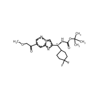 COCC(=O)c1cnn2cc([C@@H](NC(=O)OC(C)(C)C)C3CCC(F)(F)CC3)nc2c1